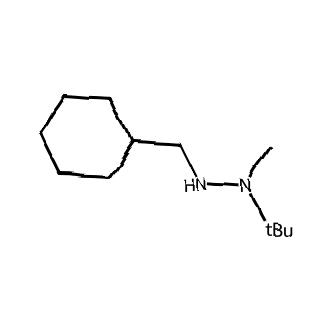 CN(NCC1CCCCC1)C(C)(C)C